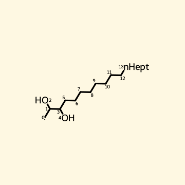 [CH2]C(O)C(O)CCCCCCCCCCCCCCC